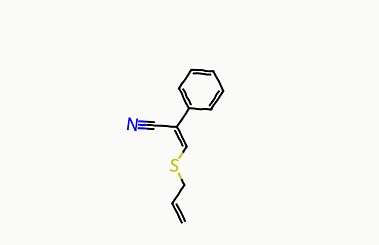 C=CCSC=C(C#N)c1ccccc1